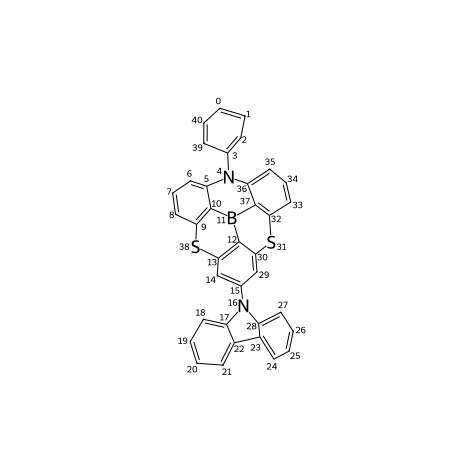 c1ccc(N2c3cccc4c3B3c5c(cc(-n6c7ccccc7c7ccccc76)cc5Sc5cccc2c53)S4)cc1